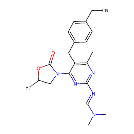 CCC1CN(c2nc(N=CN(C)C)nc(C)c2Cc2ccc(CC#N)cc2)C(=O)O1